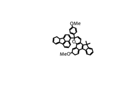 COc1ccc(C2(c3ccc4c5c(cccc35)C3=CC=CCC34)C=Cc3c4c(c5c(c3O2)=CC(OC)CC=5)-c2ccccc2C4(C)C)cc1